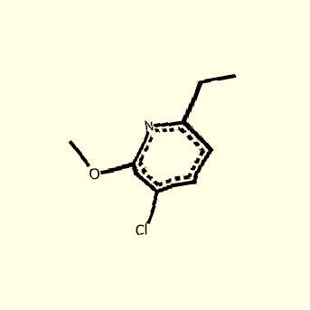 CCc1ccc(Cl)c(OC)n1